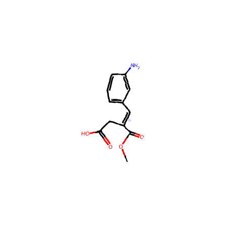 COC(=O)/C(=C/c1cccc(N)c1)CC(=O)O